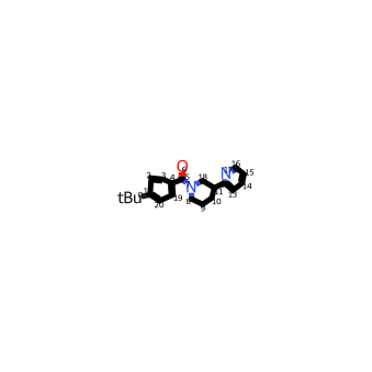 CC(C)(C)c1ccc(C(=O)N2CCCC(c3ccccn3)C2)cc1